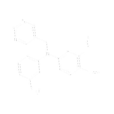 COc1ccc(N(Cc2cncnc2)c2cccc(C(=O)O)c2)cc1OC(C)C